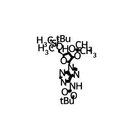 CC(C)(C)OC(=O)Nc1ncnc2c1ncn2[C@H]1O[C@@H](CO[Si](C)(C)C(C)(C)C)[C@H]2OC(C)(C)OC21